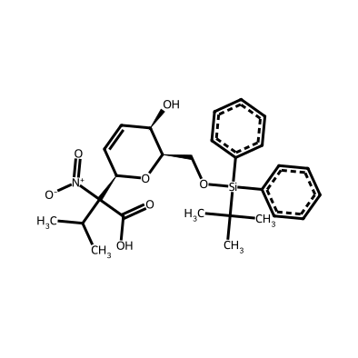 CC(C)C(C(=O)O)([C@H]1C=C[C@@H](O)[C@@H](CO[Si](c2ccccc2)(c2ccccc2)C(C)(C)C)O1)[N+](=O)[O-]